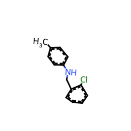 Cc1ccc(NCc2ccccc2Cl)cc1